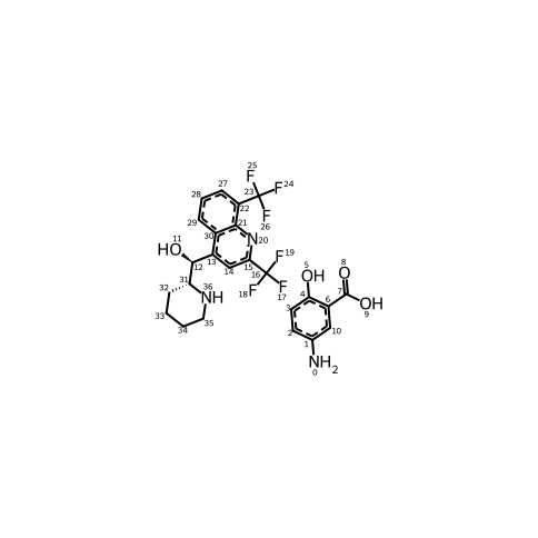 Nc1ccc(O)c(C(=O)O)c1.O[C@@H](c1cc(C(F)(F)F)nc2c(C(F)(F)F)cccc12)[C@H]1CCCCN1